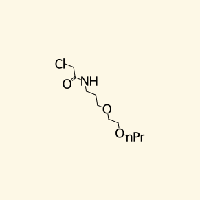 CCCOCCOCCCNC(=O)CCl